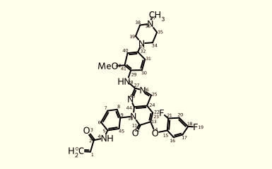 C=CC(=O)Nc1cccc(-n2c(=O)c(Oc3ccc(F)cc3F)cc3cnc(Nc4ccc(N5CCN(C)CC5)cc4OC)nc32)c1